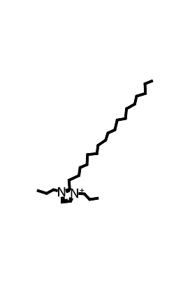 CCCCCCCCCCCCCCCCCCc1n(CCC)cc[n+]1CCC